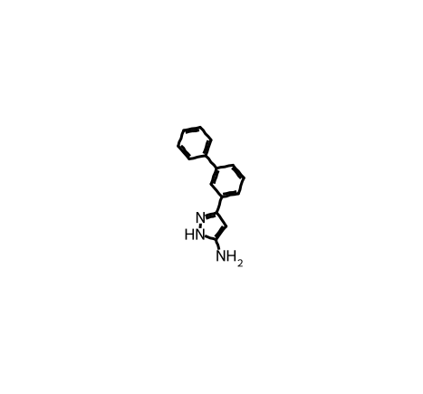 Nc1cc(-c2cccc(-c3ccccc3)c2)n[nH]1